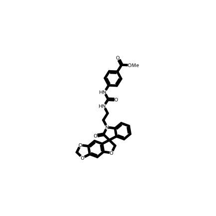 COC(=O)c1ccc(NC(=O)NCCN2C(=O)C3(COc4cc5c(cc43)OCO5)c3ccccc32)cc1